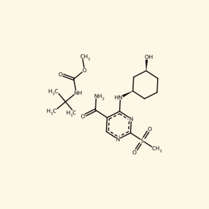 COC(=O)NC(C)(C)C.CS(=O)(=O)c1ncc(C(N)=O)c(N[C@@H]2CCC[C@H](O)C2)n1